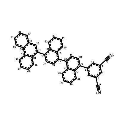 N#Cc1cc(C#N)cc(-c2ccc(-c3ccc(-c4cc5ccccc5c5ccccc45)c4ccccc34)c3ccccc23)c1